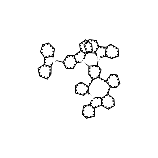 c1ccc2c(c1)c1cc(-n3c4ccccc4c4ccccc43)c(-n3c4ccccc4c4cc(-n5c6ccccc6c6ccccc65)ccc43)cc1c1ccccc1n1c3ccccc3c3cccc2c31